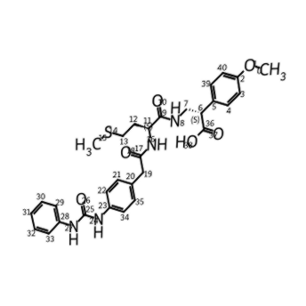 COc1ccc([C@@H](CNC(=O)[C@H](CCSC)NC(=O)Cc2ccc(NC(=O)Nc3ccccc3)cc2)C(=O)O)cc1